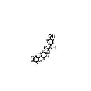 O=C(Nc1ccc(O)cn1)O[C@H]1CC[C@H](c2ccccc2)CC1